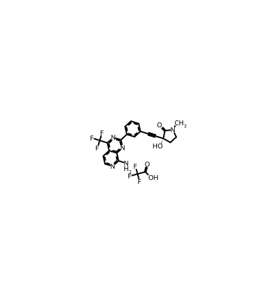 CN1CC[C@@](O)(C#Cc2cccc(-c3nc(C(F)(F)F)c4ccnc(N)c4n3)c2)C1=O.O=C(O)C(F)(F)F